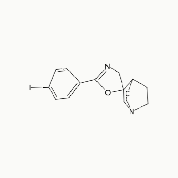 Ic1ccc(C2=NCC3(CN4CCC3CC4)O2)cc1